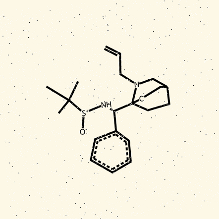 C=CCN1CC2CCC1([C@@H](N[S+]([O-])C(C)(C)C)c1ccccc1)CC2